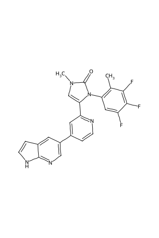 Cc1c(-n2c(-c3cc(-c4cnc5[nH]ccc5c4)ccn3)cn(C)c2=O)cc(F)c(F)c1F